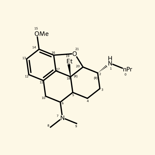 CCCN[C@@H]1CCC2C(N(C)C)Cc3ccc(OC)c4c3[C@]2(CC)C1O4